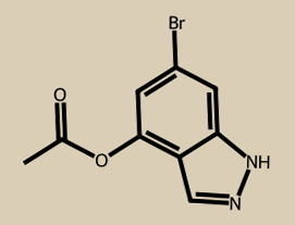 CC(=O)Oc1cc(Br)cc2[nH]ncc12